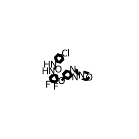 O=C(Nc1ccc(Cl)cc1)Nc1cc(F)c(F)c(Oc2ccc3ncc(N4CCOCC4)nc3c2)c1